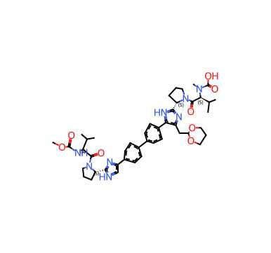 COC(=O)N[C@H](C(=O)N1CCC[C@H]1c1nc(-c2ccc(-c3ccc(-c4[nH]c([C@@H]5CCCN5C(=O)[C@H](C(C)C)N(C)C(=O)O)nc4CC4OCCCO4)cc3)cc2)c[nH]1)C(C)C